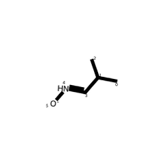 CC(C)C=[NH+][O-]